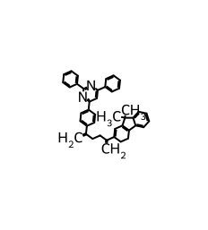 C=C(CCC(=C)c1ccc(-c2cc(-c3ccccc3)nc(-c3ccccc3)n2)cc1)C1=CC2=C(CC1)c1ccccc1C2(C)C